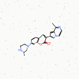 Cc1nccn2cc(-c3cc4ccc(N5CCNC(C)C5)cc4oc3=O)cc12